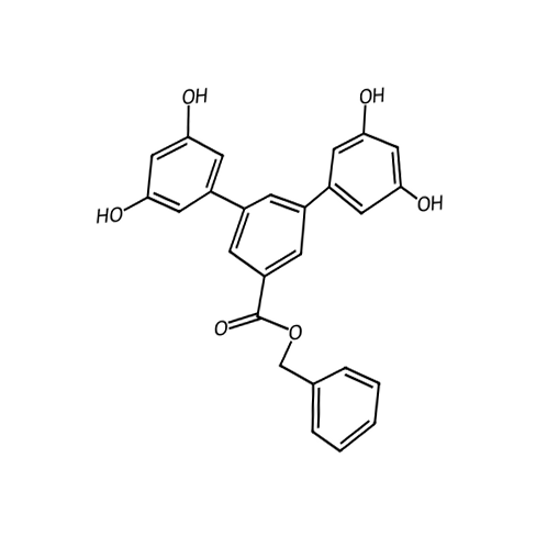 O=C(OCc1ccccc1)c1cc(-c2cc(O)cc(O)c2)cc(-c2cc(O)cc(O)c2)c1